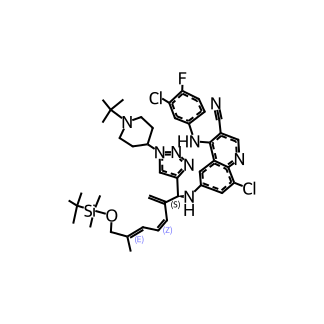 C=C(/C=C\C=C(/C)CO[Si](C)(C)C(C)(C)C)[C@H](Nc1cc(Cl)c2ncc(C#N)c(Nc3ccc(F)c(Cl)c3)c2c1)c1cn(C2CCN(C(C)(C)C)CC2)nn1